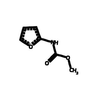 COC(=O)Nc1ccco1